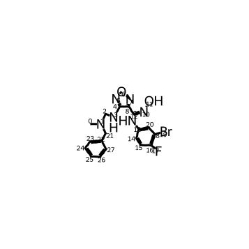 CN(CNc1nonc1C(=NO)Nc1ccc(F)c(Br)c1)Cc1ccccc1